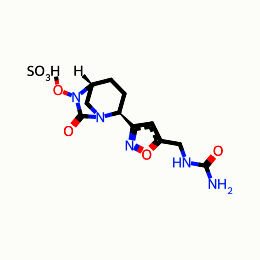 NC(=O)NCc1cc([C@@H]2CC[C@@H]3CN2C(=O)N3OS(=O)(=O)O)no1